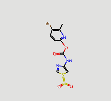 Cc1nc(OC(=O)NC2=CS(=S(=O)=O)C=N2)ccc1Br